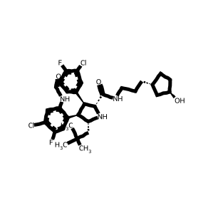 CC(C)(C)C[C@H]1N[C@@H](C(=O)NCCC[C@@H]2CC[C@@H](O)C2)[C@H](c2ccc(F)c(Cl)c2)[C@@H]1c1cc(F)c(Cl)cc1NC=O